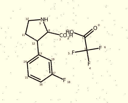 O=C(O)C(F)(F)F.O=C(O)C1NCCC1c1cccc(F)c1